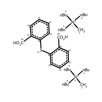 CCCC[N+](C)(CCCC)CCCC.CCCC[N+](C)(CCCC)CCCC.O=C(O)c1ccccc1Sc1ccccc1C(=O)O